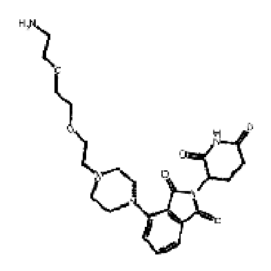 NCCOCCOCCN1CCN(c2cccc3c2C(=O)N(C2CCC(=O)NC2=O)C3=O)CC1